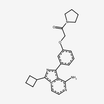 Nc1nccn2c(C3CCC3)nc(-c3cccc(OCC(=O)N4CCCC4)c3)c12